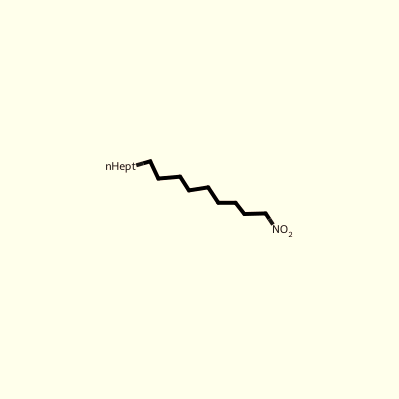 CCCCCCCCCCCCCCCC[N+](=O)[O-]